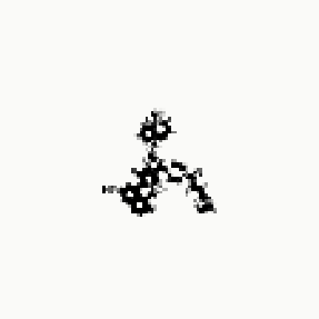 C#Cc1c(F)ccc2cc(O)cc(-c3ncc4c(N5CCN(C(=O)/C(F)=C/c6nccs6)CC5)nc(OC[C@]56CCC[C@H]5N(C)CCC6)nc4c3F)c12